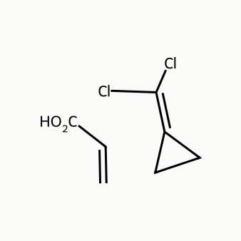 C=CC(=O)O.ClC(Cl)=C1CC1